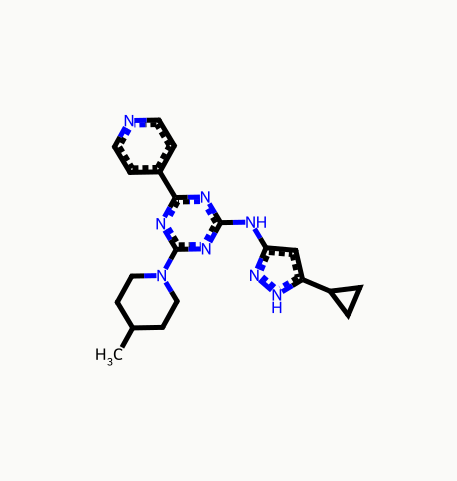 CC1CCN(c2nc(Nc3cc(C4CC4)[nH]n3)nc(-c3ccncc3)n2)CC1